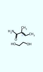 C/C=C(\C)C(N)=O.OCCO